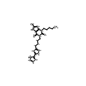 CCCCCn1c(=O)n(CCCCc2noc(-c3nnn[nH]3)n2)c(=O)c2[nH]c(Cl)nc21